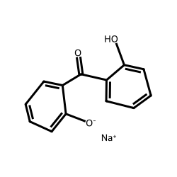 O=C(c1ccccc1[O-])c1ccccc1O.[Na+]